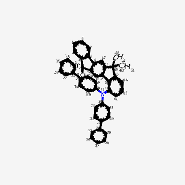 CC1(C)c2ccccc2-c2cc3c(cc21)-c1c(N(c2ccc(-c4ccccc4)cc2)c2ccc(-c4ccccc4)cc2)cccc1C3(C)C